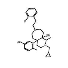 Cc1ccc(O)cc1C12CCN(CCc3ccccc3F)CCC1(O)C(C)N(CC1CC1)CC2